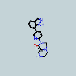 O=C1[C@H]2CNCCN2CCN1c1ccc(-c2cccc3cn[nH]c23)cn1